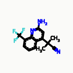 CC(C)(C#N)c1cc(N)nc2c(C(F)(F)F)cccc12